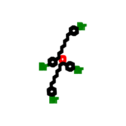 Brc1ccc(CCCCCCCC(OC(CCCCCCCc2ccc(Br)cc2)c2ccc(Br)cc2)c2ccc(Br)cc2)cc1